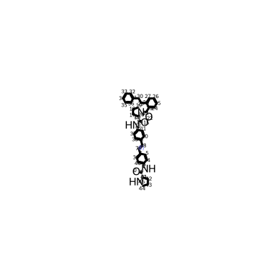 O=C(Nc1ccc(/C=C/c2ccc(NC(=O)[C@@H]3CCCN3C(=O)c3ccccc3CCc3ccccc3)cc2)cc1)[C@@H]1CCCN1